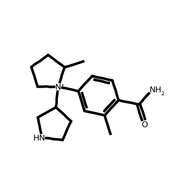 Cc1cc([N+]2(C3CCNC3)CCCC2C)ccc1C(N)=O